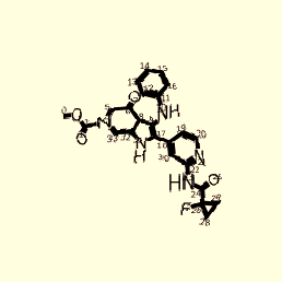 COC(=O)N1CC(=O)C2C(Nc3ccccc3)=C(c3ccnc(NC(=O)C4(F)CC4)c3)NC2C1